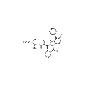 CC(C)(C)C1[C@@H](NC(=O)Nc2sc3c(ccc(=O)n3-c3ccccc3)c2C(=O)c2ccccc2)CCN1C(=O)O